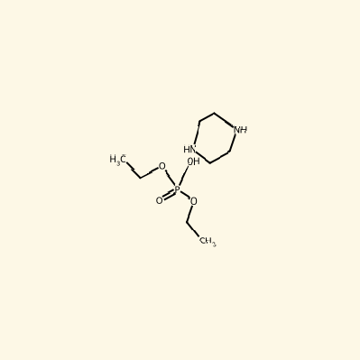 C1CNCCN1.CCOP(=O)(O)OCC